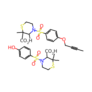 CC#CCOc1ccc(S(=O)(=O)N2CCSC(C)(C)C2C(=O)O)cc1.CC1(C)SCCN(S(=O)(=O)c2ccc(O)cc2)C1C(=O)O